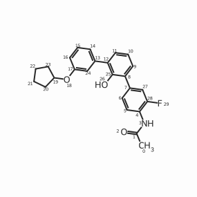 CC(=O)Nc1ccc(-c2cccc(-c3cccc(OC4CCCC4)c3)c2O)cc1F